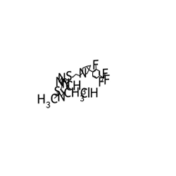 Cc1nc(C)c(-c2nnc(SCCCN3CC4CC4(c4ccc(C(F)(F)F)cc4F)C3)n2C)s1.Cl